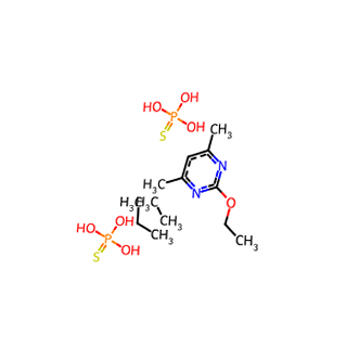 CC.CCC.CCOc1nc(C)cc(C)n1.OP(O)(O)=S.OP(O)(O)=S